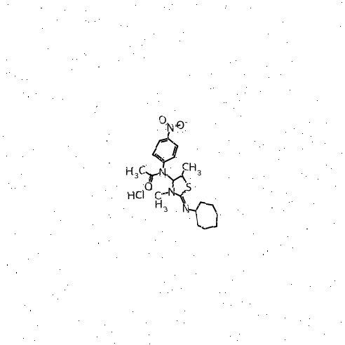 CC(=O)N(c1ccc([N+](=O)[O-])cc1)C1C(C)SC(=NC2CCCCCC2)N1C.Cl